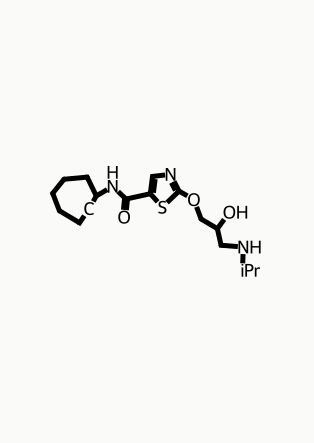 CC(C)NCC(O)COc1ncc(C(=O)NC2CCCCCC2)s1